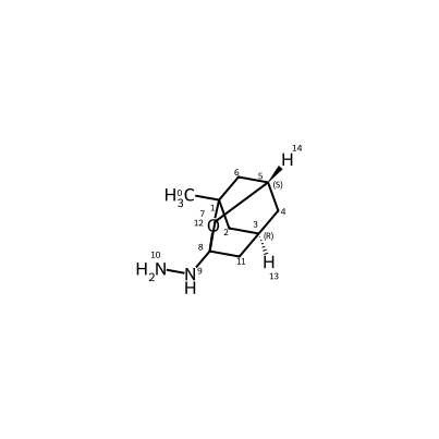 CC12C[C@H]3C[C@@H](C1)CC(NN)(C3)O2